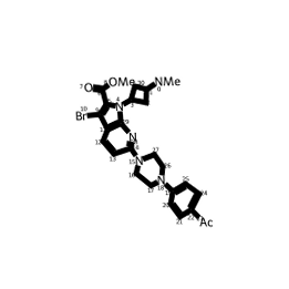 CNC1CC(n2c(C(=O)OC)c(Br)c3ccc(N4CCN(c5ccc(C(C)=O)cc5)CC4)nc32)C1